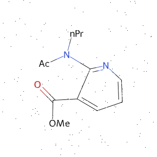 CCCN(C(C)=O)c1ncccc1C(=O)OC